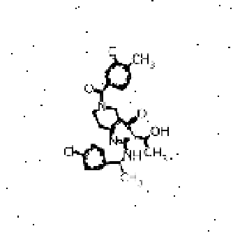 Cc1ccc(C(=O)N2CCc3nc(N[C@@H](C)c4ccc(Cl)cc4)n(C(C)O)c(=O)c3C2)cc1Cl